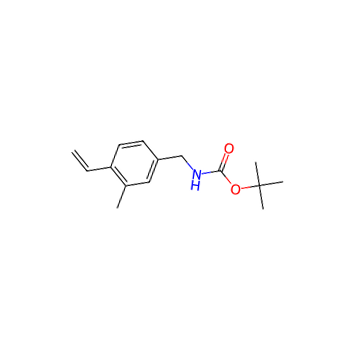 C=Cc1ccc(CNC(=O)OC(C)(C)C)cc1C